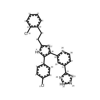 Clc1ccc(-c2[nH]c(CCc3ccccc3Cl)nc2-c2cc(-c3nn[nH]n3)ccn2)cc1